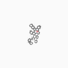 c1ccc(-c2nc(-c3c(-c4ccccc4)c(-c4ccccc4)c(-n4c5cc6ccccc6cc5c5c6ccccc6ccc54)c4ccccc34)nc(-c3cccc4oc5ccccc5c34)n2)cc1